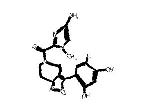 Cn1cc(N)nc1C(=O)N1CCc2noc(-c3cc(Cl)c(O)cc3O)c2C1